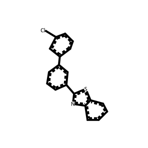 Clc1cccc(-c2cccc(-c3nc4ccccc4s3)c2)c1